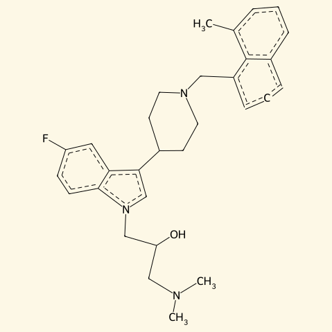 Cc1cccc2cccc(CN3CCC(c4cn(CC(O)CN(C)C)c5ccc(F)cc45)CC3)c12